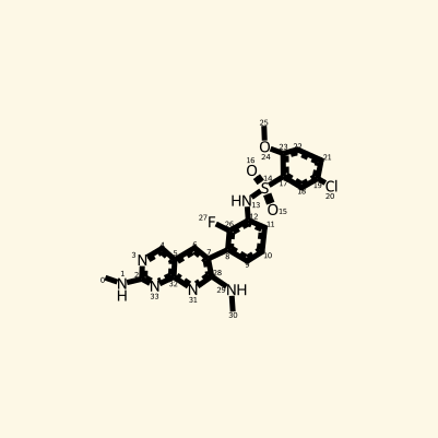 CNc1ncc2cc(-c3cccc(NS(=O)(=O)c4cc(Cl)ccc4OC)c3F)c(NC)nc2n1